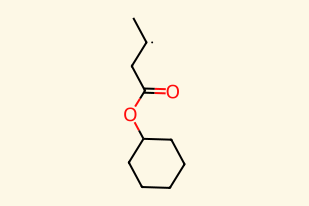 C[CH]CC(=O)OC1CCCCC1